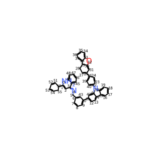 N/C(=C\C(=N/Cc1cccc(-c2ccc3c4ccccc4n(-c4ccc(C5=CCC6C(=C5)Oc5ccccc56)cc4)c3c2)c1)c1ccccc1)C1C=CC=CC1